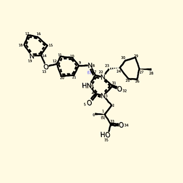 C[C@@H](Cn1c(=O)[nH]/c(=N\c2ccc(Oc3ccccn3)cc2)n(C[C@H]2CC[C@H](C)CC2)c1=O)C(=O)O